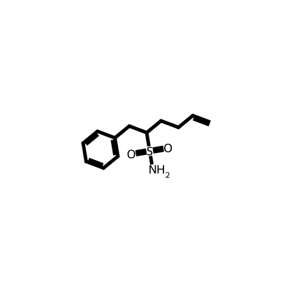 C=CCCC(Cc1ccccc1)S(N)(=O)=O